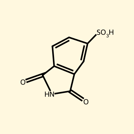 O=C1NC(=O)c2cc(S(=O)(=O)O)ccc21